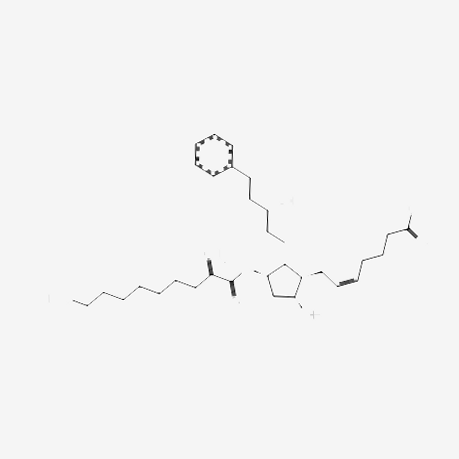 C=C(CCCCCCCC)C(=O)O[C@@H]1C[C@H](O)[C@H](C/C=C\CCCC(=O)O)[C@H]1CC[C@@H](O)CCc1ccccc1